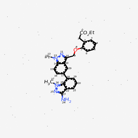 CCOC(=O)Cc1ccccc1OCc1nn(C(C)C)c2ccc(-c3cccc4c(N)nn(C)c34)cc12